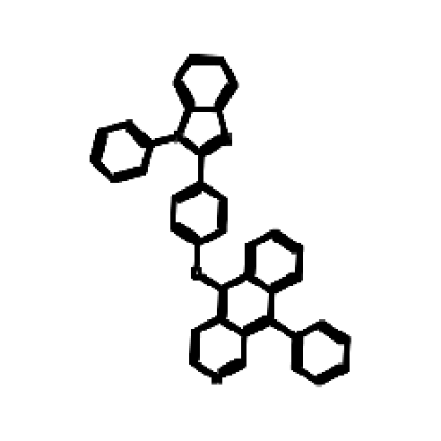 c1ccc(-c2c3ccccc3c(Oc3ccc(-c4nc5ccccc5n4-c4ccccc4)cc3)c3ccncc23)cc1